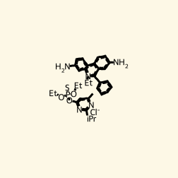 CCOP(=S)(OCC)Oc1cc(C)nc(C(C)C)n1.CC[n+]1c(-c2ccccc2)c2cc(N)ccc2c2ccc(N)cc21.[Cl-]